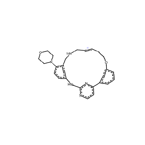 C1=C/CNCc2cc(ccc2N2CCOCC2)Nc2nccc(n2)-c2cccc(c2)OCC/1